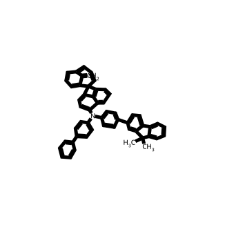 C=c1c2cccc1=CC=CC21c2cccc3c(N(c4ccc(-c5ccccc5)cc4)c4ccc(-c5ccc6c(c5)C(C)(C)c5ccccc5-6)cc4)ccc1c23